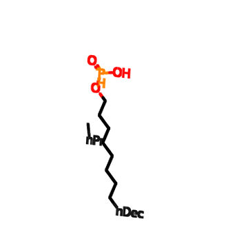 CCCC.CCCCCCCCCCCCCCCCCCO[PH](=O)O